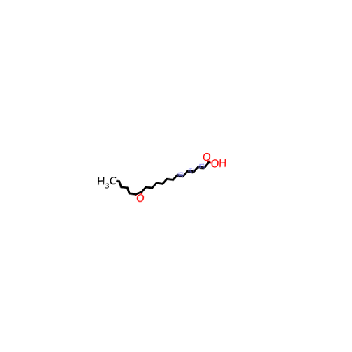 CCCCCC1OC1CCCCCC/C=C/C=C/C=C/C(=O)O